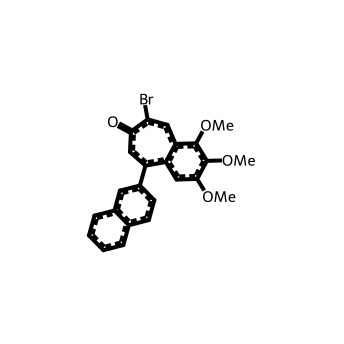 COc1cc2c(-c3ccc4ccccc4c3)cc(=O)c(Br)cc2c(OC)c1OC